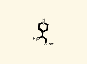 CCCCCCC(C)C1=CCNCC1